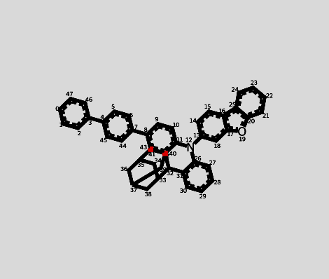 c1ccc(-c2ccc(-c3ccc(N(c4ccc5c(c4)oc4ccccc45)c4ccccc4C4C5CC6CC(C5)CC4C6)cc3)cc2)cc1